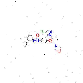 Cn1ncc(Cl)c1-c1cc(NC(=O)c2cccc(C(F)(F)F)c2)ccc1OCCN1CCOCC1